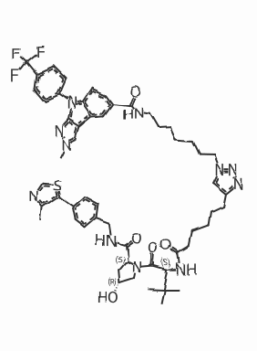 Cc1ncsc1-c1ccc(CNC(=O)[C@@H]2C[C@@H](O)CN2C(=O)[C@@H](NC(=O)CCCCCc2cn(CCCCCCCNC(=O)c3ccc4c(c3)c3cn(C)nc3n4-c3ccc(C(F)(F)F)cc3)nn2)C(C)(C)C)cc1